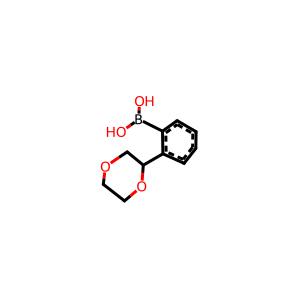 OB(O)c1ccccc1C1COCCO1